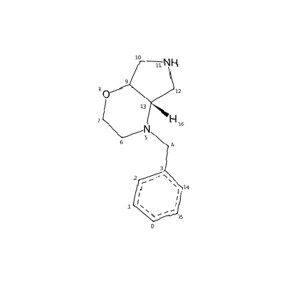 c1ccc(CN2CCOC3CNC[C@@H]32)cc1